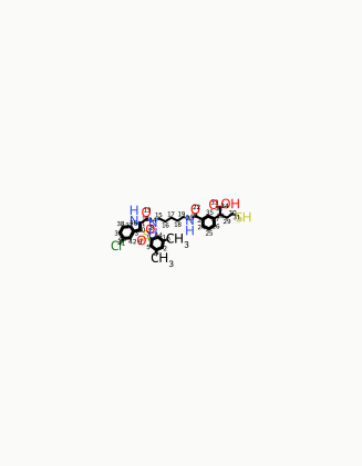 Cc1cc(C)cc(S(=O)(=O)c2c(C(=O)NCCCCCNC(=O)c3cccc(C(CCS)C(=O)O)c3)[nH]c3ccc(Cl)cc23)c1